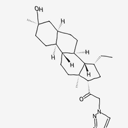 CC[C@@H]1C[C@H](C(=O)Cn2ccnn2)[C@@]2(C)CC[C@H]3[C@@H](CC[C@@H]4C[C@](C)(O)CC[C@@H]43)[C@H]12